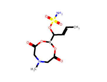 C/C=C/C(OS(N)(=O)=O)B1OC(=O)CN(C)CC(=O)O1